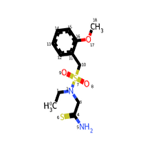 CCN(CC(N)=S)S(=O)(=O)Cc1ccccc1OC